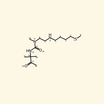 CSCCCCNCCN(C)C(=O)NC(C)(C)C(C)=O